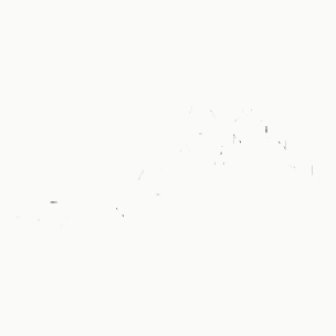 C=C1CCC(N2C(=O)c3cccc(OCc4ccc(CN5CCC(c6ccc(F)cc6)CC5)cc4)c3C2=O)C(=O)N1